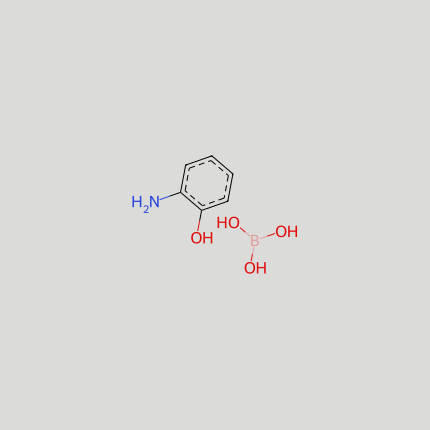 Nc1ccccc1O.OB(O)O